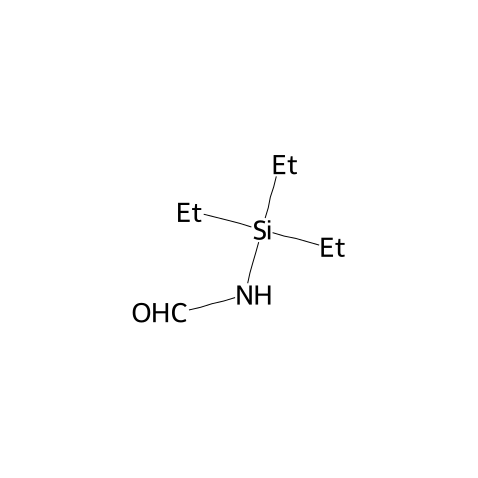 CC[Si](CC)(CC)NC=O